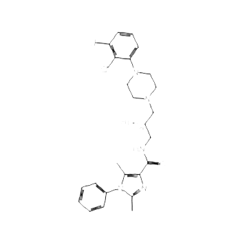 Cc1nc(C(=O)NC[C@H](O)CN2CCN(c3cccc(Cl)c3Cl)CC2)c(C)n1-c1ccccc1